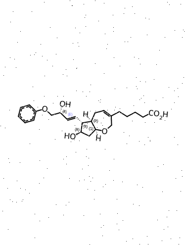 O=C(O)CCCCC1=CC[C@@H]2[C@@H](/C=C/[C@@H](O)COc3ccccc3)[C@H](O)C[C@@H]2OC1